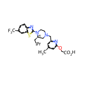 Cc1cc(CN2CCN(c3nc4ccc(C(F)(F)F)cc4s3)[C@H](CC(C)C)C2)nc(OCC(=O)O)c1